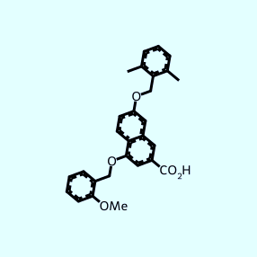 COc1ccccc1COc1cc(C(=O)O)cc2cc(OCc3c(C)cccc3C)ccc12